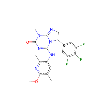 COc1nc(C)c(NC2=NC(=O)N(C)C3=NCC(c4cc(F)c(F)c(F)c4)N23)cc1C